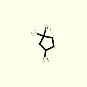 CC1CCC(C)(C(F)(F)F)C1